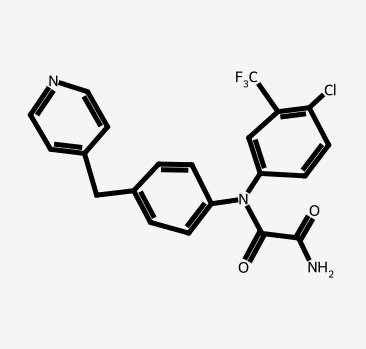 NC(=O)C(=O)N(c1ccc(Cc2ccncc2)cc1)c1ccc(Cl)c(C(F)(F)F)c1